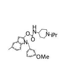 COc1cccc(Cn2c(OC(=O)NC3CCN(C(C)C)CC3)cc3cc(C)ccc32)c1